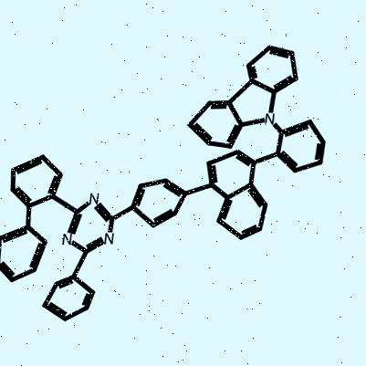 c1ccc(-c2nc(-c3ccc(-c4ccc(-c5ccccc5-n5c6ccccc6c6ccccc65)c5ccccc45)cc3)nc(-c3ccccc3-c3ccccc3)n2)cc1